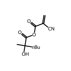 C=C(C#N)C(=O)OC(=O)C(C)(O)CCCC